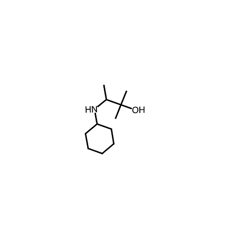 CC(NC1CCCCC1)C(C)(C)O